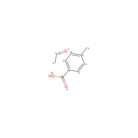 CC=O.Cc1ccc(C(=O)O)cc1